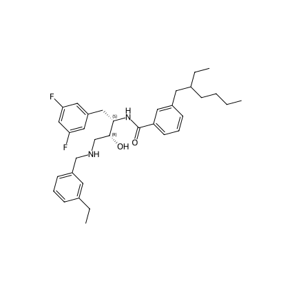 CCCCC(CC)Cc1cccc(C(=O)N[C@@H](Cc2cc(F)cc(F)c2)[C@H](O)CNCc2cccc(CC)c2)c1